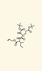 C=CCOC(=O)C(NC(=O)[C@H](CCC(=O)OC(C)(C)C)NC(=O)OC(C)(C)C)C(C)CC